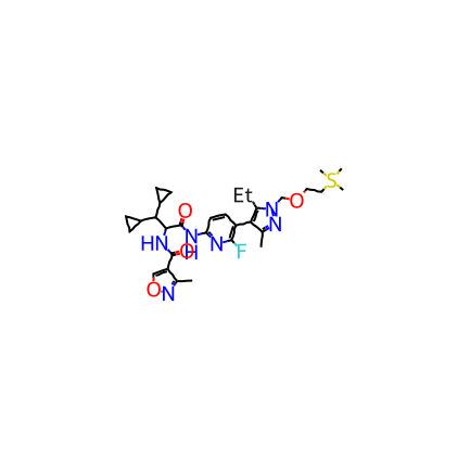 CCc1c(-c2ccc(NC(=O)C(NC(=O)c3conc3C)C(C3CC3)C3CC3)nc2F)c(C)nn1COCCS(C)(C)C